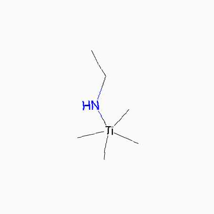 CC[NH][Ti]([CH3])([CH3])([CH3])[CH3]